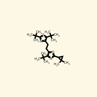 CC(C)(C)c1nc(CCc2oc(C3CC3(C)C)nc2C(C)(C)C)c(C(C)(C)C)s1